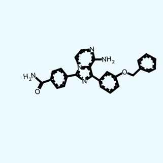 NC(=O)c1ccc(-c2nc(-c3cccc(OCc4ccccc4)c3)c3c(N)nccn23)cc1